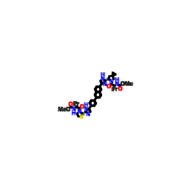 COC(=O)NC(C(=O)N1CC2(CC2)C[C@H]1c1nc(-c2ccc3cc(-c4ccc(-c5cnc([C@@H]6SCCN6C(=O)[C@@H](NC(=O)OC)C(C)C)[nH]5)cc4)ccc3c2)c[nH]1)C(C)C